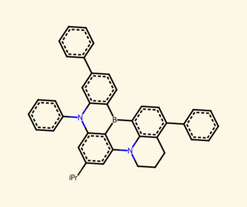 CC(C)c1cc2c3c(c1)N(c1ccccc1)c1cc(-c4ccccc4)ccc1B3c1ccc(-c3ccccc3)c3c1N2CCC3